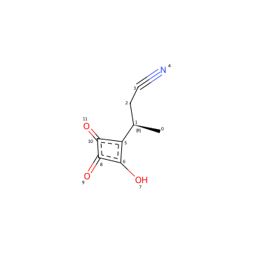 C[C@H](CC#N)c1c(O)c(=O)c1=O